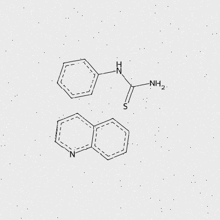 NC(=S)Nc1ccccc1.c1ccc2ncccc2c1